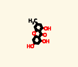 Cc1cc(O)c2c(=O)c3c(O)cc(O)cc3oc2c1